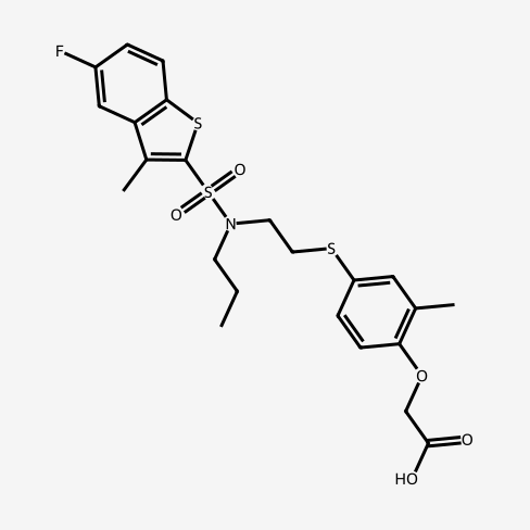 CCCN(CCSc1ccc(OCC(=O)O)c(C)c1)S(=O)(=O)c1sc2ccc(F)cc2c1C